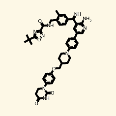 Cc1cc(C(=N)c2cc(-c3ccc(N4CCC(COc5ccc(N6CCC(=O)NC6=O)cc5)CC4)cc3)cnc2N)ccc1CNC(=O)c1noc(C(C)(C)C)n1